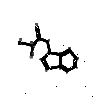 O=[C](CC1C=Cc2ccccc21)[Zr]([Cl])[Cl]